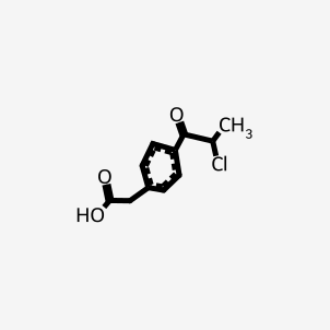 CC(Cl)C(=O)c1ccc(CC(=O)O)cc1